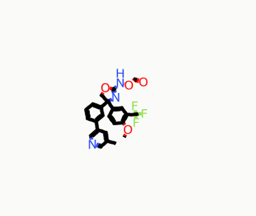 COc1ccc(C2(c3cccc(-c4cncc(C)c4)c3)COC(NOC=O)=N2)cc1C(F)(F)F